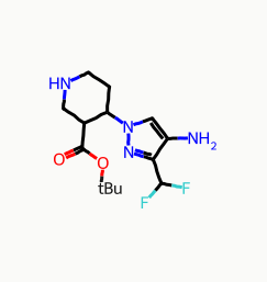 CC(C)(C)OC(=O)C1CNCCC1n1cc(N)c(C(F)F)n1